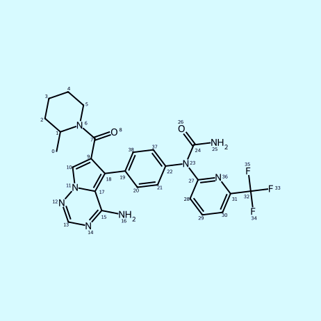 CC1CCCCN1C(=O)c1cn2ncnc(N)c2c1-c1ccc(N(C(N)=O)c2cccc(C(F)(F)F)n2)cc1